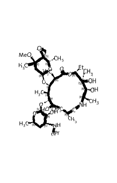 CCCN[C@H]1C[C@@H](C)O[C@@H](O[C@@H]2[C@@H](C)[C@H](O[C@H]3C[C@@](C)(OC)[C@]4(CO4)[C@H](C)O3)[C@@H](C)C(=O)O[C@H](CC)[C@@](C)(O)[C@H](O)[C@@H](C)NC[C@H](C)C[C@@]2(C)O)[C@@H]1O